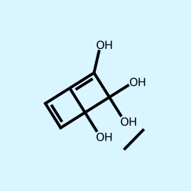 CC.OC1=C2C=CC2(O)C1(O)O